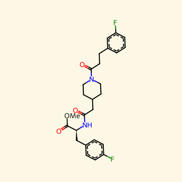 COC(=O)[C@H](Cc1ccc(F)cc1)NC(=O)CC1CCN(C(=O)CCc2cccc(F)c2)CC1